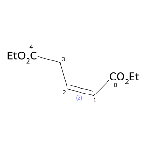 CCOC(=O)/C=C\CC(=O)OCC